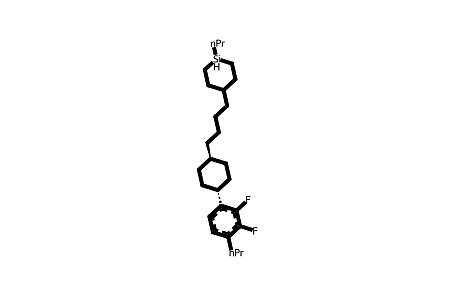 CCCc1ccc([C@H]2CC[C@H](CCCCC3CC[SiH](CCC)CC3)CC2)c(F)c1F